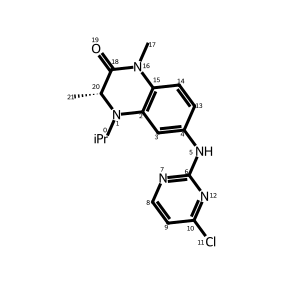 CC(C)N1c2cc(Nc3nccc(Cl)n3)ccc2N(C)C(=O)[C@H]1C